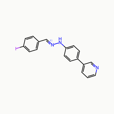 Ic1ccc(/C=N/Nc2ccc(-c3cccnc3)cc2)cc1